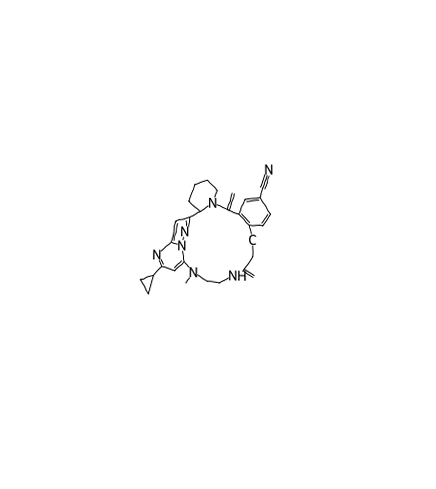 C=C1CCc2ccc(C#N)cc2C(=C)N2CCCCC2c2cc3nc(C4CC4)cc(n3n2)N(C)CCN1